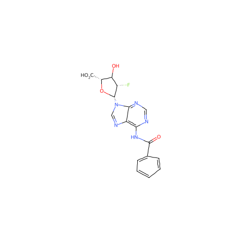 O=C(Nc1ncnc2c1ncn2[C@@H]1O[C@H](C(=O)O)C(O)[C@@H]1F)c1ccccc1